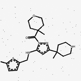 CC1(C(=O)n2nc(C3(C)CCNCC3)cc2NCc2ccc(Cl)s2)CCOCC1